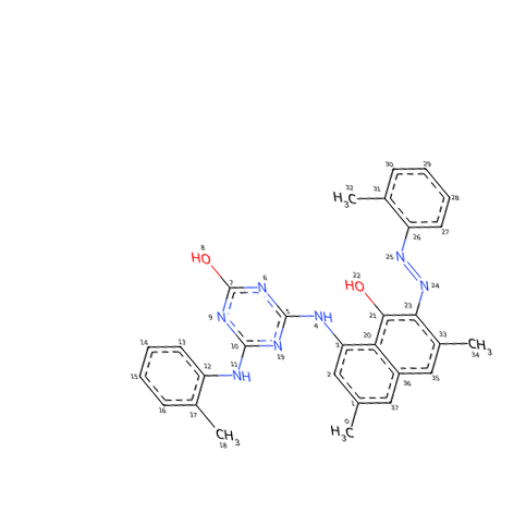 Cc1cc(Nc2nc(O)nc(Nc3ccccc3C)n2)c2c(O)c(N=Nc3ccccc3C)c(C)cc2c1